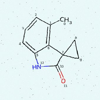 Cc1cccc2c1C1(CC1)C(=O)N2